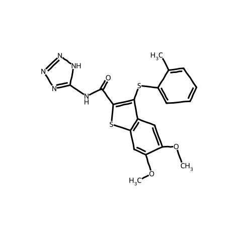 COc1cc2sc(C(=O)Nc3nnn[nH]3)c(Sc3ccccc3C)c2cc1OC